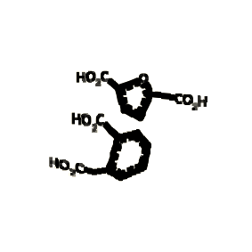 O=C(O)c1ccc(C(=O)O)o1.O=C(O)c1ccccc1C(=O)O